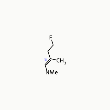 CN/C=C(\C)CCF